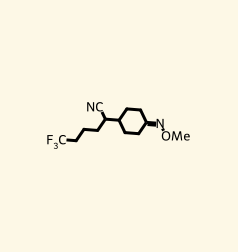 CON=C1CCC(C(C#N)CCCC(F)(F)F)CC1